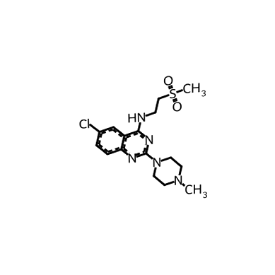 CN1CCN(c2nc(NCCS(C)(=O)=O)c3cc(Cl)ccc3n2)CC1